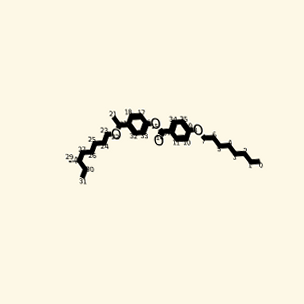 CCCCCCCCOc1ccc(C(=O)Oc2ccc(C(C)OCCCCC[C@@H](C)CC)cc2)cc1